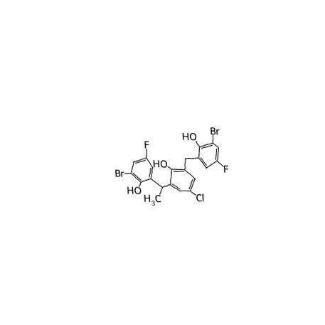 CC(c1cc(F)cc(Br)c1O)c1cc(Cl)cc(Cc2cc(F)cc(Br)c2O)c1O